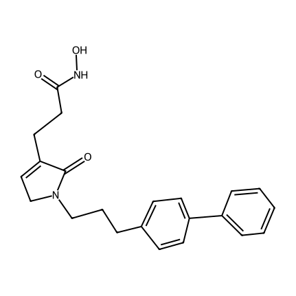 O=C(CCC1=CCN(CCCc2ccc(-c3ccccc3)cc2)C1=O)NO